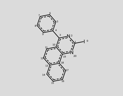 Ic1nc(-c2ccccc2)c2ccc3ccccc3c2n1